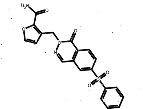 NC(=O)c1occc1Cn1ncc2cc(S(=O)(=O)c3ccccc3)ccc2c1=O